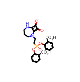 O=C(O)c1ccccc1OP(=O)(CCN1CCCNc2c1c(=O)c2=O)Oc1ccccc1C(=O)O